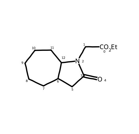 CCOC(=O)CN1C(=O)CC2CCCCCC21